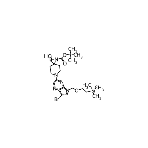 CC(C)(C)OC(=O)NC1(CO)CCN(c2cnc3c(Br)cn(COCC[Si](C)(C)C)c3n2)CC1